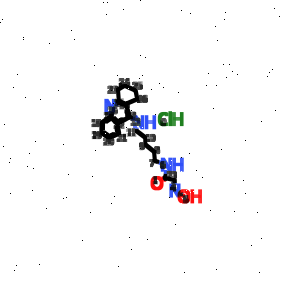 Cl.O=C(C=NO)NCCCCCNc1c2c(nc3ccccc13)CCCC2